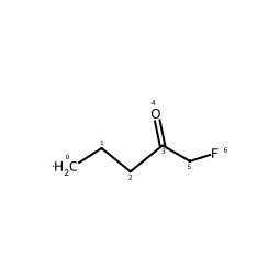 [CH2]CCC(=O)CF